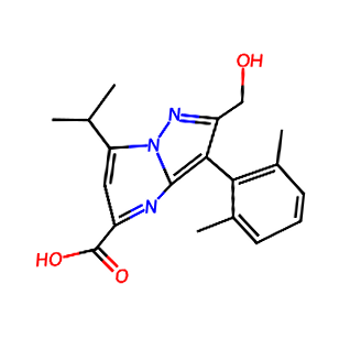 Cc1cccc(C)c1-c1c(CO)nn2c(C(C)C)cc(C(=O)O)nc12